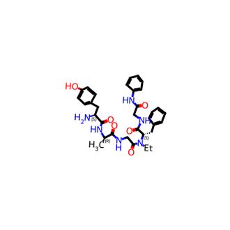 CCN(C(=O)CNC(=O)[C@@H](C)NC(=O)[C@@H](N)Cc1ccc(O)cc1)[C@@H](Cc1ccccc1)C(=O)NCC(=O)Nc1ccccc1